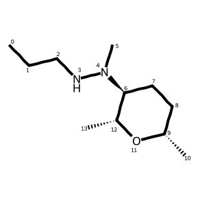 CCCNN(C)[C@H]1CC[C@H](C)O[C@@H]1C